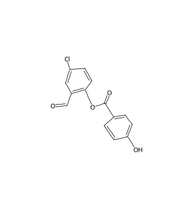 O=Cc1cc(Cl)ccc1OC(=O)c1ccc(O)cc1